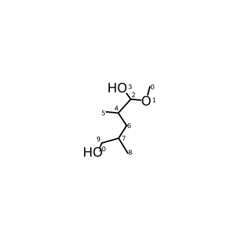 COC(O)C(C)CC(C)CO